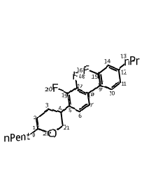 CCCCCC1CCC(c2ccc(-c3ccc(CCC)cc3F)c(F)c2F)CO1